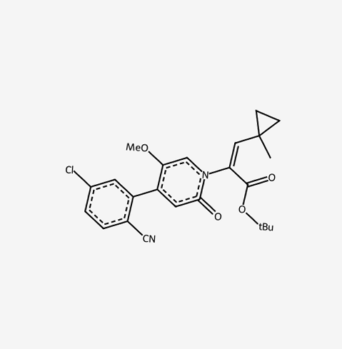 COc1cn(C(=CC2(C)CC2)C(=O)OC(C)(C)C)c(=O)cc1-c1cc(Cl)ccc1C#N